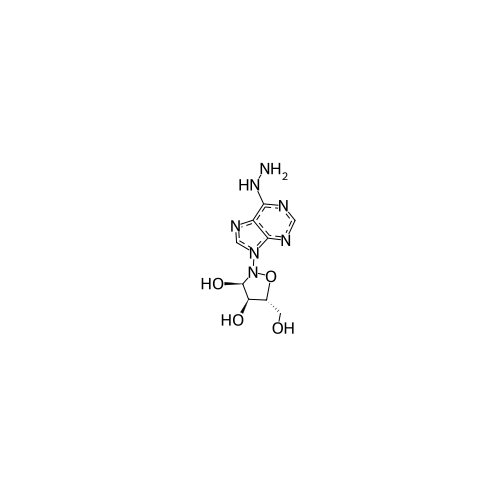 NNc1ncnc2c1ncn2N1O[C@H](CO)[C@@H](O)[C@H]1O